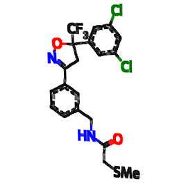 CSCC(=O)NCc1cccc(C2=NOC(c3cc(Cl)cc(Cl)c3)(C(F)(F)F)C2)c1